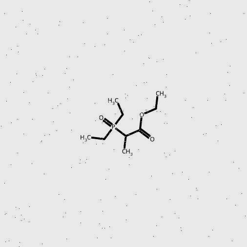 CCOC(=O)C(C)P(=O)(CC)CC